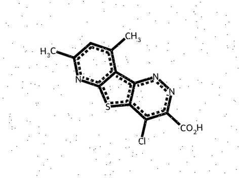 Cc1cc(C)c2c(n1)sc1c(Cl)c(C(=O)O)nnc12